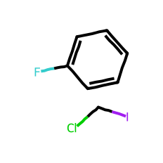 ClCI.Fc1ccccc1